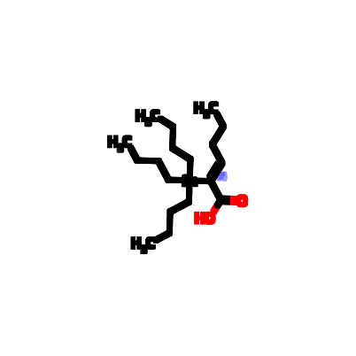 CCC/C=[C](/C(=O)O)[Sn]([CH2]CCC)([CH2]CCC)[CH2]CCC